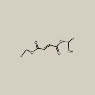 CCOC(=O)C=CC(=O)OC(C)O